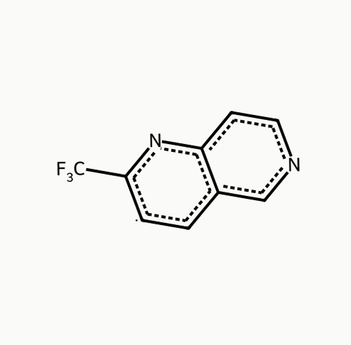 FC(F)(F)c1[c]cc2cnccc2n1